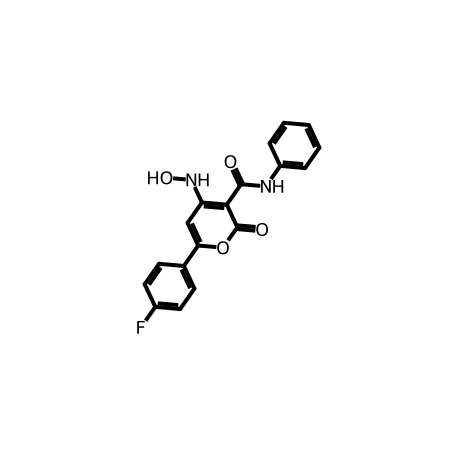 O=C(Nc1ccccc1)c1c(NO)cc(-c2ccc(F)cc2)oc1=O